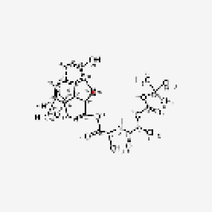 C[C@H](NC(=O)[C@H](C)OC(=O)OC(C)(C)C)C(=O)OC1=CC[C@@]2(O)[C@H]3Cc4ccc(O)c5c4[C@@]2(CCN3C)[C@H]1O5